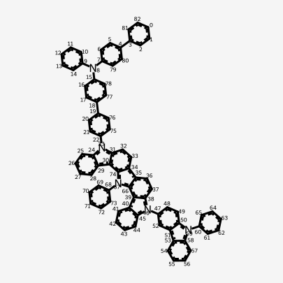 c1ccc(-c2ccc(N(c3ccccc3)c3ccc(-c4ccc(-n5c6ccccc6c6c5ccc5c7ccc8c(c9ccccc9n8-c8ccc9c(c8)c8ccccc8n9-c8ccccc8)c7n(-c7ccccc7)c56)cc4)cc3)cc2)cc1